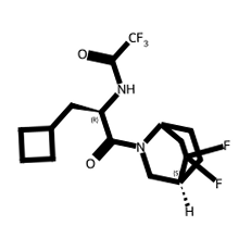 O=C([C@@H](CC1CCC1)NC(=O)C(F)(F)F)N1C[C@@H]2CCC1CC2(F)F